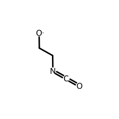 [O]CCN=C=O